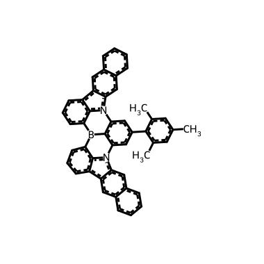 Cc1cc(C)c(-c2cc3c4c(c2)-n2c5cc6ccccc6cc5c5cccc(c52)B4c2cccc4c5cc6ccccc6cc5n-3c24)c(C)c1